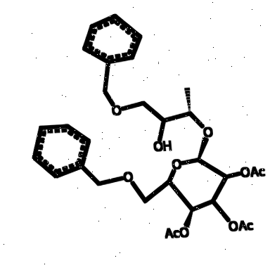 CC(=O)OC1C(OC(C)=O)[C@@H](OC(C)=O)C(COCc2ccccc2)O[C@H]1O[C@@H](C)C(O)COCc1ccccc1